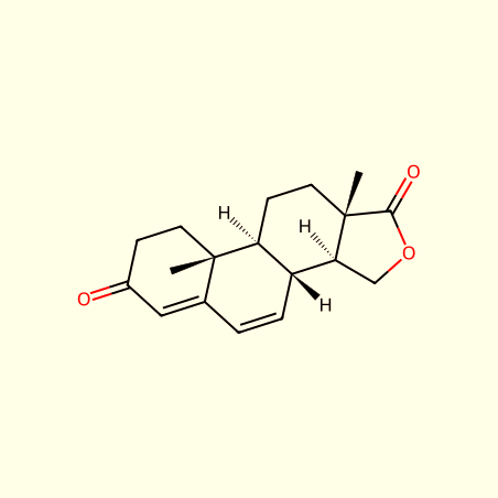 C[C@]12CCC(=O)C=C1C=C[C@@H]1[C@@H]2CC[C@]2(C)C(=O)OC[C@@H]12